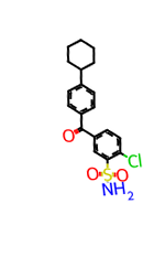 NS(=O)(=O)c1cc(C(=O)c2ccc(C3CCCCC3)cc2)ccc1Cl